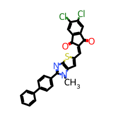 Cn1c(-c2ccc(-c3ccccc3)cc2)nc2sc(C=C3C(=O)c4cc(Cl)c(Cl)cc4C3=O)cc21